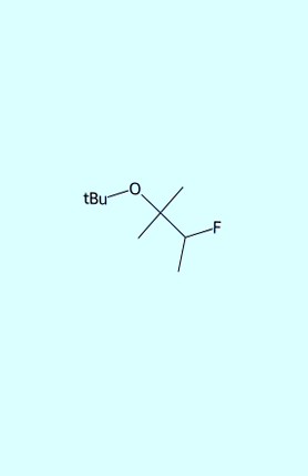 CC(F)C(C)(C)OC(C)(C)C